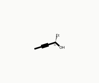 CC#C[C@@H](O)CC